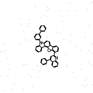 c1ccc(-c2cccc(-n3c4ccccc4c4c5oc6c(-c7cc(-c8ccccc8)c8ccccc8n7)cccc6c5ccc43)c2)cc1